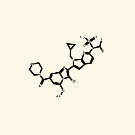 COc1cc(C(=O)N2CCNCC2)cc2nc(-c3cc4ccc(N(C(F)F)S(C)(=O)=O)nc4n3CC3CC3)c(C)n12